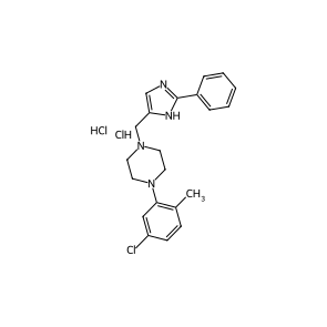 Cc1ccc(Cl)cc1N1CCN(Cc2cnc(-c3ccccc3)[nH]2)CC1.Cl.Cl